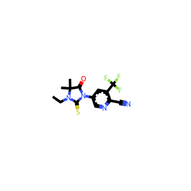 CCN1C(=S)N(c2cnc(C#N)c(C(F)(F)F)c2)C(=O)C1(C)C